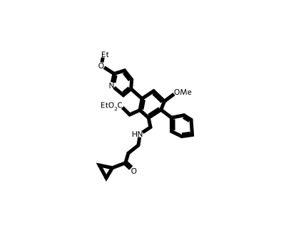 CCOC(=O)Cc1c(-c2ccc(OCC)nc2)cc(OC)c(-c2ccccc2)c1CNCCC(=O)C1CC1